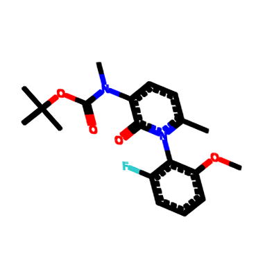 COc1cccc(F)c1-n1c(C)ccc(N(C)C(=O)OC(C)(C)C)c1=O